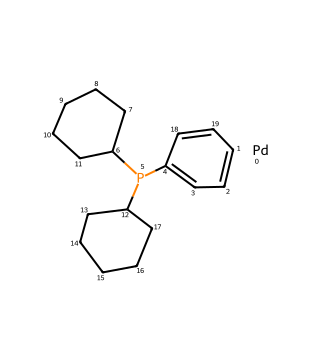 [Pd].c1ccc(P(C2CCCCC2)C2CCCCC2)cc1